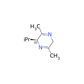 CC1=N[C@@H](C(C)C)C(C)=NC1